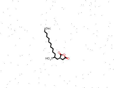 CCCCCCCCCCCCCCCCCCCCC(CC1CC(=O)OC1=O)S(=O)(=O)O